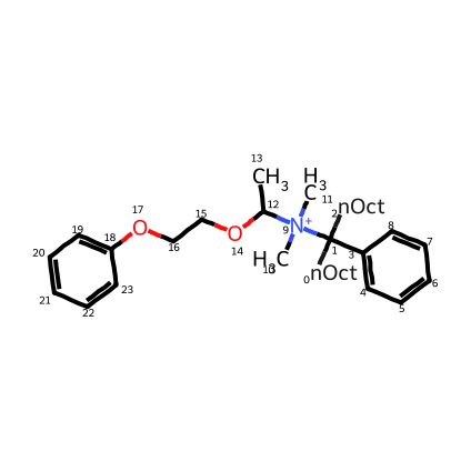 CCCCCCCCC(CCCCCCCC)(c1ccccc1)[N+](C)(C)C(C)OCCOc1ccccc1